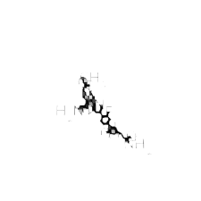 COC(=O)CN1CCN(c2ncc(-c3ccc(N4CC(CCC(N)=O)OC4=O)cc3F)cn2)C(C(=O)CN)C1